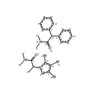 CC(C(=O)N(C)C)n1nc(Br)c(Br)c1Br.CN(C)C(=O)C(c1ccccc1)c1ccccc1